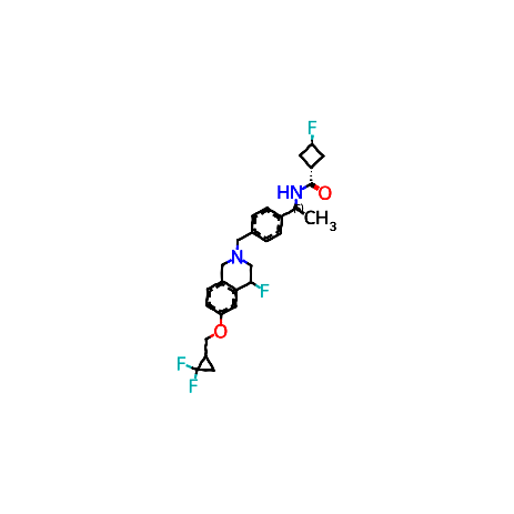 C[C@H](NC(=O)[C@H]1C[C@H](F)C1)c1ccc(CN2Cc3ccc(OCC4CC4(F)F)cc3C(F)C2)cc1